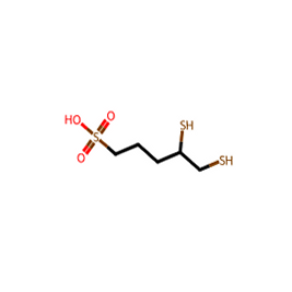 O=S(=O)(O)CCCC(S)CS